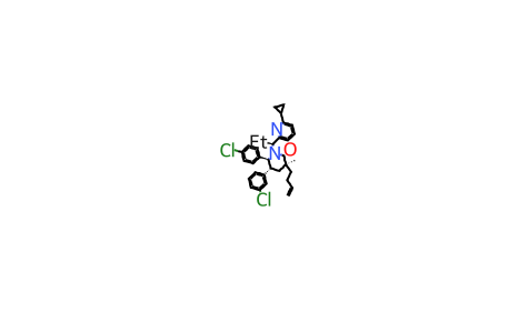 C=CCC[C@@]1(C)C[C@H](c2cccc(Cl)c2)[C@@H](c2ccc(Cl)cc2)N([C@@H](CC)c2cccc(C3CC3)n2)C1=O